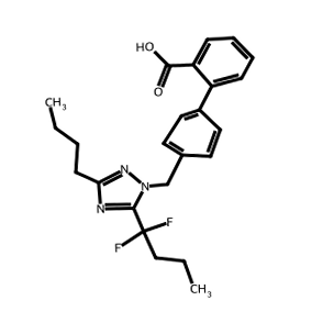 CCCCc1nc(C(F)(F)CCC)n(Cc2ccc(-c3ccccc3C(=O)O)cc2)n1